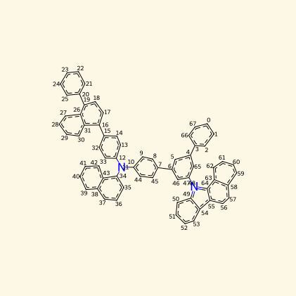 c1ccc(-c2cc(-c3ccc(N(c4ccc(-c5ccc(-c6ccccc6)c6ccccc56)cc4)c4cccc5ccccc45)cc3)cc(-n3c4ccccc4c4ccc5ccccc5c43)c2)cc1